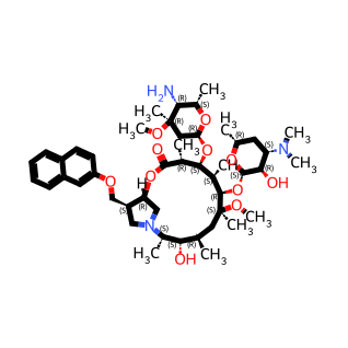 CO[C@]1(C)C[C@H](O[C@H]2[C@H](C)[C@@H](O[C@@H]3O[C@H](C)C[C@H](N(C)C)[C@H]3O)[C@@](C)(OC)C[C@@H](C)[C@H](O)[C@H](C)N3C[C@@H](COc4ccc5ccccc5c4)[C@H](C3)OC(=O)[C@@H]2C)O[C@@H](C)[C@H]1N